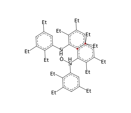 CCc1cc(CC)c(CC)c([SiH](O[SiH](c2cc(CC)cc(CC)c2CC)c2cc(CC)cc(CC)c2CC)c2cc(CC)cc(CC)c2CC)c1